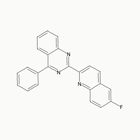 Fc1ccc2nc(-c3nc(-c4ccccc4)c4ccccc4n3)ccc2c1